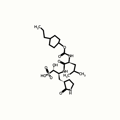 CCCC1CCC(OC(=O)N[C@@H](CC(C)C)C(=O)N[C@@H](C[C@@H]2CCNC2=O)[C@@H](O)S(=O)(=O)O)CC1